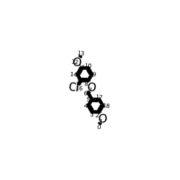 COc1ccc(COc2ccc(OC)cc2Cl)cc1